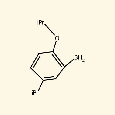 Bc1cc(C(C)C)ccc1OC(C)C